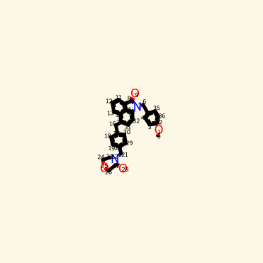 COc1ccc(CN2C(=O)c3cccc4c(Cc5ccc(CN6CCOCC6=O)cc5)ccc2c34)cc1